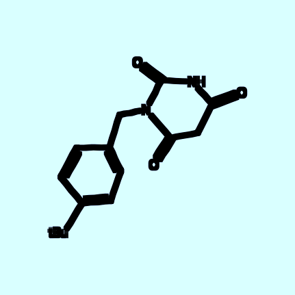 CC(C)(C)c1ccc(CN2C(=O)CC(=O)NC2=O)cc1